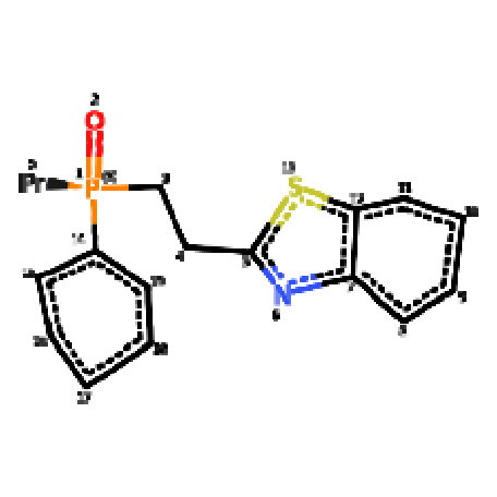 CC(C)[P@@](=O)(CCc1nc2ccccc2s1)c1ccccc1